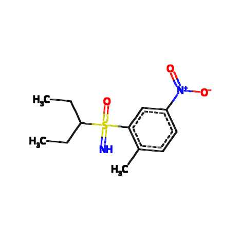 CCC(CC)S(=N)(=O)c1cc([N+](=O)[O-])ccc1C